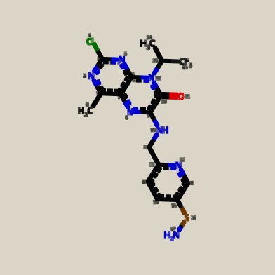 Cc1nc(Cl)nc2c1nc(NCc1ccc(SN)cn1)c(=O)n2C(C)C(F)(F)F